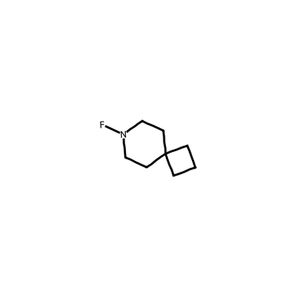 FN1CCC2(CCC2)CC1